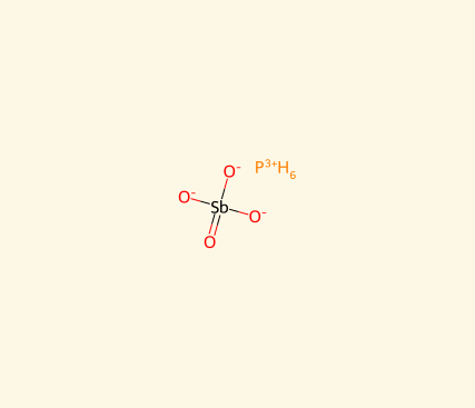 [O]=[Sb]([O-])([O-])[O-].[PH6+3]